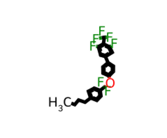 CCCCc1ccc(C(F)(F)Oc2ccc(-c3cc(F)c(C(F)(F)F)c(F)c3)cc2)cc1